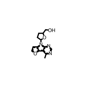 Cc1ncnc2c1c1occc1n2C1CCC(CO)O1